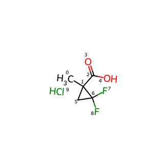 CC1(C(=O)O)CC1(F)F.Cl